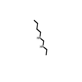 CCCCNCNCC